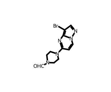 O=CN1CCN(c2ccn3ncc(Br)c3n2)CC1